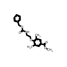 COC(=O)c1cc(C)c(OCCNC(=O)OCc2ccccc2)c(C)c1